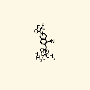 CC(C)(C)OC(=O)Cc1ccc2c(c1C#N)CCN(C(=O)C(F)(F)F)C2